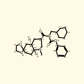 CN1C[C@H](C(=O)N(CC2CCCCC2)C(=O)Oc2ccccc2)C[C@@H]2CC3(CC[C@H]21)OCCO3